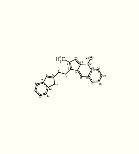 CC1=C(CCC2=Cc3ccccc3C2)C2=Cc3ccccc3C(Br)C2=C1